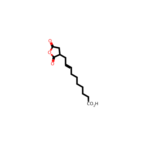 O=C(O)CCCCCC/C=C/CC1CC(=O)OC1=O